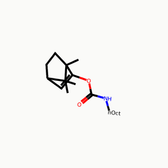 CCCCCCCCNC(=O)OC1=CC2CCC1(C)C2(C)C